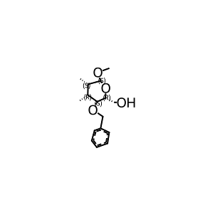 CO[C@H]1O[C@H](CO)[C@@H](OCc2ccccc2)[C@H](C)[C@@H]1C